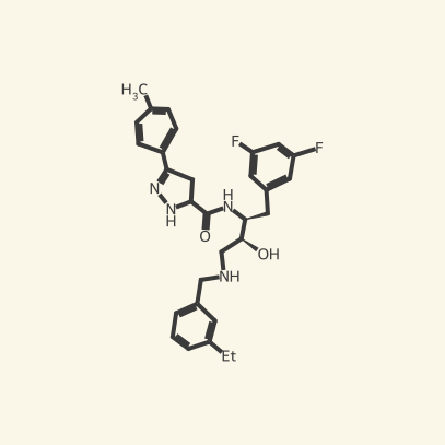 CCc1cccc(CNC[C@H](O)[C@H](Cc2cc(F)cc(F)c2)NC(=O)C2CC(c3ccc(C)cc3)=NN2)c1